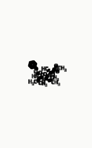 C#C[C@H](CCS(C)(=O)=O)NC(=O)[C@H](CC(C)C)NC(=O)[C@@H](NC(=O)OCc1ccccc1)C(C)C